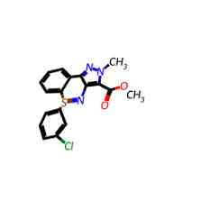 COC(=O)c1c2c(nn1C)-c1ccccc1S(c1cccc(Cl)c1)=N2